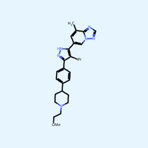 COCCN1CCC(c2ccc(-c3n[nH]c(-c4cc(C)c5ncnn5c4)c3C(C)C)cc2)CC1